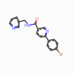 O=C(NCc1cccnc1)c1ccc(-c2ccc(Br)cc2)nc1